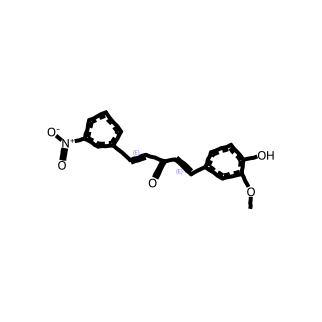 COc1cc(/C=C/C(=O)/C=C/c2cccc([N+](=O)[O-])c2)ccc1O